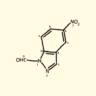 O=Cn1ncc2cc([N+](=O)[O-])ccc21